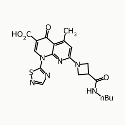 CCCCNC(=O)C1CN(c2cc(C)c3c(=O)c(C(=O)O)cn(-c4ncns4)c3n2)C1